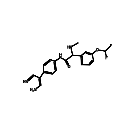 CNC(C(=O)Nc1ccc(/C(C=N)=C/N)cc1)c1cccc(OC(F)F)c1